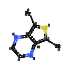 CCc1sc(C(C)C)c2nccnc12